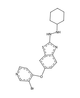 Brc1cnccc1Oc1ccc2nc(NNC3CCCCC3)sc2c1